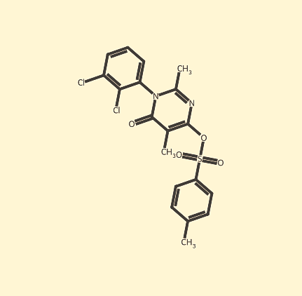 Cc1ccc(S(=O)(=O)Oc2nc(C)n(-c3cccc(Cl)c3Cl)c(=O)c2C)cc1